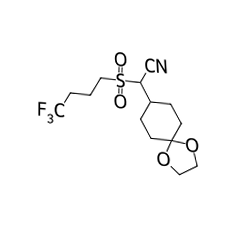 N#CC(C1CCC2(CC1)OCCO2)S(=O)(=O)CCCC(F)(F)F